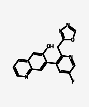 Oc1cc2cccnc2cc1-c1cc(F)cnc1Cc1nnco1